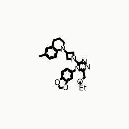 CCOCc1nnc(N2CC(N3CCCc4cc(C)ccc43)C2)n1-c1ccc2c(c1)OCO2